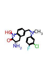 CN(Cc1ccc2c(c1)C[C@H](N)C(=O)N2O)c1ccc(F)c(Cl)c1